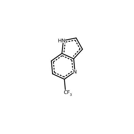 FC(F)(F)c1ccc2[nH]ccc2n1